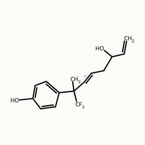 C=CC(O)C/C=C/C(C)(c1ccc(O)cc1)C(F)(F)F